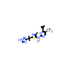 Cc1nc(C(C)(C)c2nc[nH]n2)sc1Nc1ncc(C(F)(F)F)c(C2CC2)n1